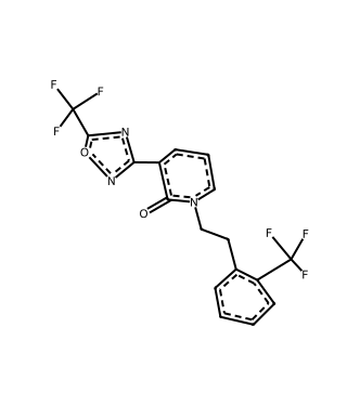 O=c1c(-c2noc(C(F)(F)F)n2)cccn1CCc1ccccc1C(F)(F)F